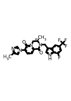 Cc1cn(-c2ccc3n(c2=O)C[C@@H](C)N(Cc2c[nH]c4c(F)cc(C(F)(F)F)cc24)C3=O)cn1